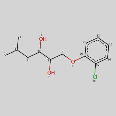 CC(C)CC(O)C(O)COc1ccccc1Cl